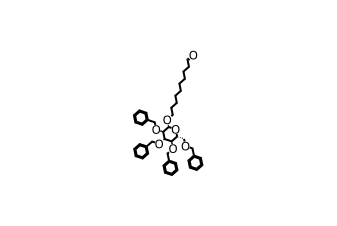 O=CCCCCCCCCCO[C@@H]1O[C@H](COCc2ccccc2)[C@@H](OCc2ccccc2)[C@H](OCc2ccccc2)[C@H]1OCc1ccccc1